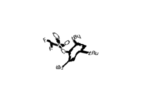 CC(C)(C)c1cc(C(C)(C)C)c(OS(=O)(=O)C(F)F)c(C(C)(C)C)c1